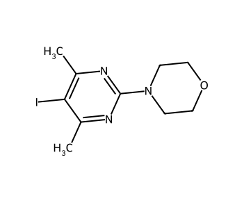 Cc1nc(N2CCOCC2)nc(C)c1I